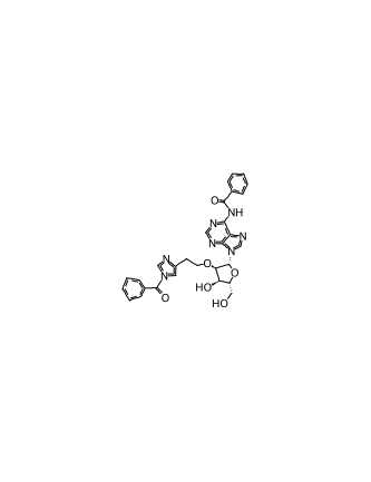 O=C(Nc1ncnc2c1ncn2[C@@H]1O[C@H](CO)[C@@H](O)[C@H]1OCCc1cn(C(=O)c2ccccc2)cn1)c1ccccc1